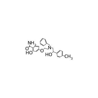 Cc1ccc(C(O)CN(CCOc2ccc(C(N)=O)c(O)c2)Cc2ccccc2)cc1